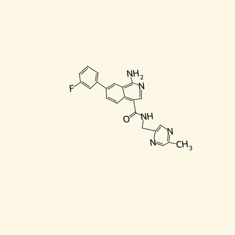 Cc1cnc(CNC(=O)c2cnc(N)c3cc(-c4cccc(F)c4)ccc23)cn1